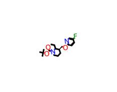 CCC1[C@@H](COc2ccc(F)cn2)CCCN1C(=O)OC(C)(C)C